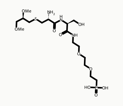 COC[C@H](CSC[C@H](N)C(=O)N[C@@H](CO)C(=O)NCCOCCOCCP(=O)(O)O)OC